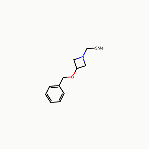 CSCN1CC(OCc2ccccc2)C1